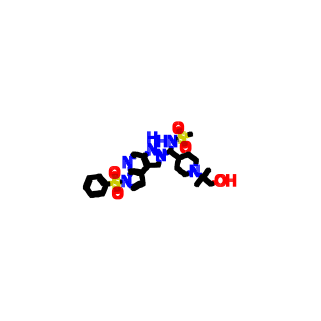 CC(C)(CO)N1CCC(C(NS(C)(=O)=O)N2Cc3c(cnc4c3ccn4S(=O)(=O)c3ccccc3)N2)CC1